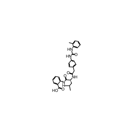 Cc1ccccc1NC(=O)Nc1ccc(CC(=O)N[C@@H](CC(C)C)C(=O)Nc2ccccc2C(=O)O)cc1